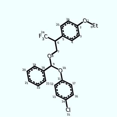 CCOc1ccc(C(COC(Oc2ccc(Cl)cc2)c2ccccc2)C(F)(F)F)cc1